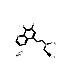 C#CCN(C)CCc1cc(F)c(O)c2ncccc12.Cl.Cl